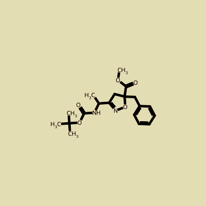 COC(=O)C1(Cc2ccccc2)CC(C(C)NC(=O)OC(C)(C)C)=NO1